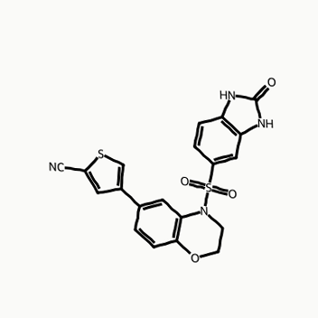 N#Cc1cc(-c2ccc3c(c2)N(S(=O)(=O)c2ccc4[nH]c(=O)[nH]c4c2)CCO3)cs1